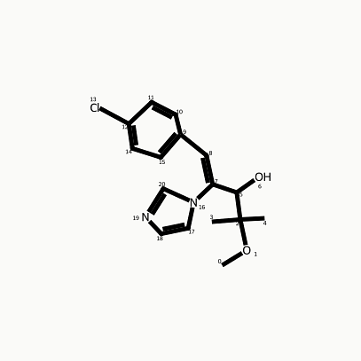 COC(C)(C)C(O)C(=Cc1ccc(Cl)cc1)n1ccnc1